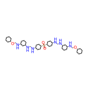 O=S(=O)(c1ccc(NCNc2cccc(NCOc3ccccc3)c2)cc1)c1ccc(NCNc2cccc(NCOc3ccccc3)c2)cc1